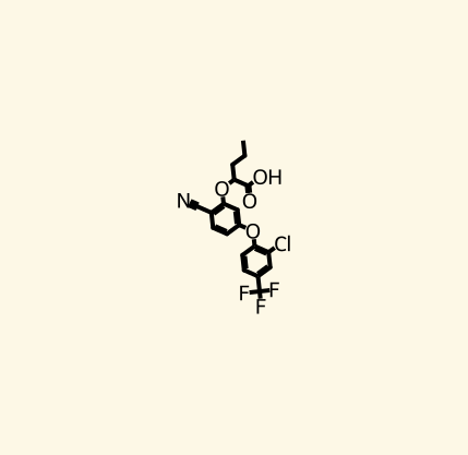 CCCC(Oc1cc(Oc2ccc(C(F)(F)F)cc2Cl)ccc1C#N)C(=O)O